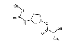 CC(S)C(=O)OC1CCC(NC(=O)OC(C)(C)C)C1